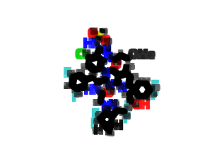 COCCCn1nc(NS(C)(=O)=O)c2c(Cl)ccc(-n3c([C@H](Cc4cc(F)cc(F)c4)NC(=O)Cn4nc(C(F)F)c5c4C(F)(F)[C@@H]4C[C@H]54)nc4nc(C5(CCO)CCC(F)(F)CC5)cc(C)c4c3=O)c21